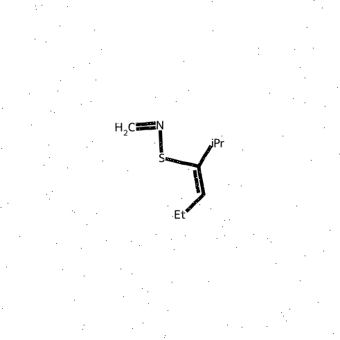 C=NS/C(=C\CC)C(C)C